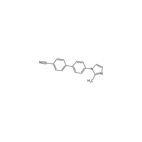 Cc1nccn1-c1ccc(-c2ccc(C#N)cc2)cc1